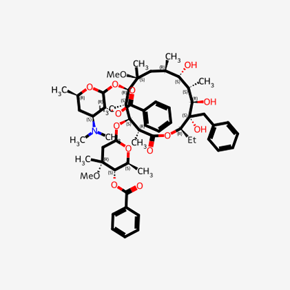 CC[C@H]1OC(=O)[C@H](C)[C@@H](OC2C[C@@](C)(OC)[C@@H](OC(=O)c3ccccc3)[C@H](C)O2)[C@H](C)[C@@H](OC2O[C@H](C)C[C@H](N(C)C)[C@H]2OC(=O)c2ccccc2)[C@@](C)(OC)C[C@@H](C)[C@H](O)[C@H](C)[C@@H](O)[C@@]1(O)Cc1ccccc1